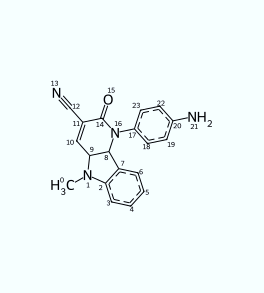 CN1c2ccccc2C2C1C=C(C#N)C(=O)N2c1ccc(N)cc1